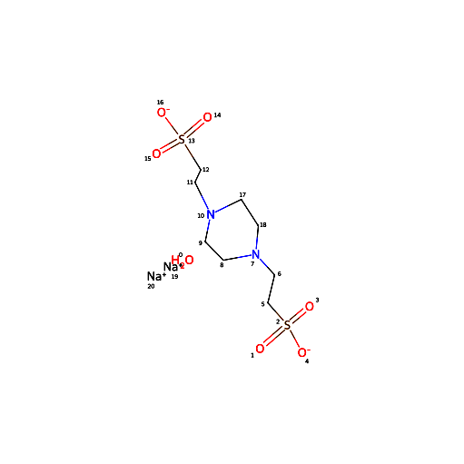 O.O=S(=O)([O-])CCN1CCN(CCS(=O)(=O)[O-])CC1.[Na+].[Na+]